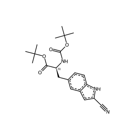 CC(C)(C)OC(=O)N[C@@H](Cc1ccc2[nH]c(C#N)cc2c1)C(=O)OC(C)(C)C